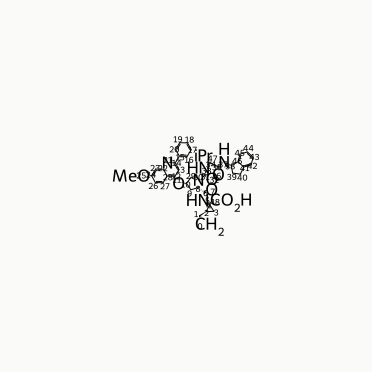 C=C[C@@H]1C[C@]1(NC(=O)[C@@H]1C[C@@H](Oc2cc(-c3ccccc3)nc3cc(OC)ccc23)CN1C(=O)NC(C(=O)N[C@H]1CCc2ccccc21)C(C)C)C(=O)O